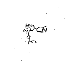 C=CC(=O)N1CC(N(c2cc(-c3ccnc(C)c3)c[nH]c2=O)C2CC2)C1